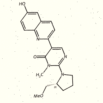 COC[C@H]1CCCN1c1ncc(-c2ccc3cc(O)ccc3n2)c(=O)n1C